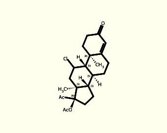 CC(=O)O[C@]1(C(C)=O)CC[C@H]2[C@@H]3CCC4=CC(=O)CC[C@]4(C)[C@H]3C(Cl)C[C@@]21C